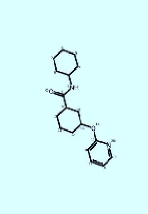 O=C(NC1CCCCC1)C1CCCC(Oc2ccccn2)C1